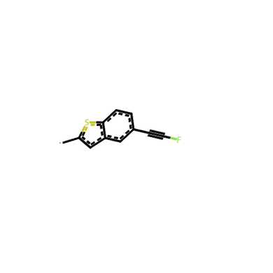 [CH2]c1cc2cc(C#CF)ccc2s1